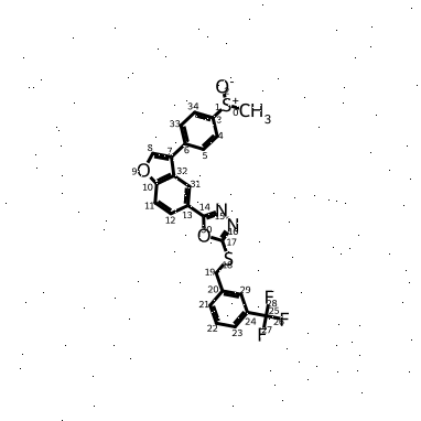 C[S+]([O-])c1ccc(-c2coc3ccc(-c4nnc(SCc5cccc(C(F)(F)F)c5)o4)cc23)cc1